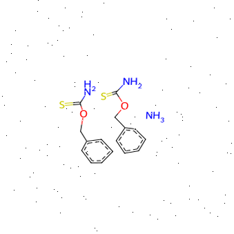 N.NC(=S)OCc1ccccc1.NC(=S)OCc1ccccc1